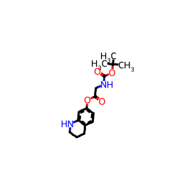 CC(C)(C)OC(=O)NCC(=O)Oc1ccc2c(c1)NCCC2